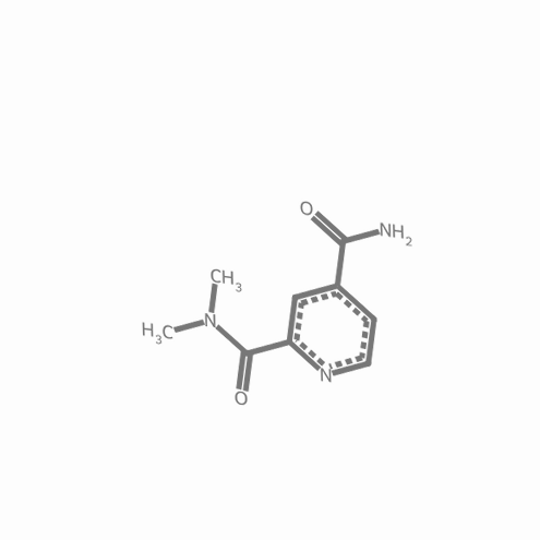 CN(C)C(=O)c1cc(C(N)=O)ccn1